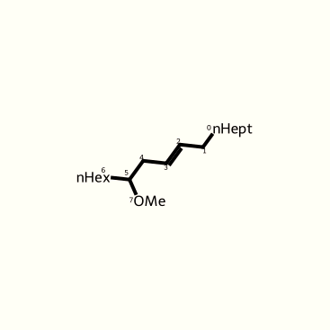 [CH2]CCCCCCCC=CCC(CCCCCC)OC